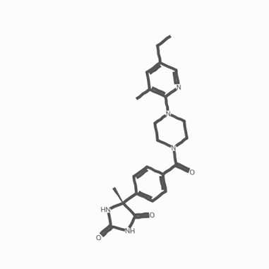 CCc1cnc(N2CCN(C(=O)c3ccc([C@@]4(C)NC(=O)NC4=O)cc3)CC2)c(C)c1